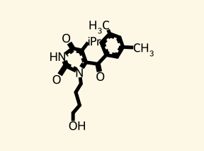 Cc1cc(C)cc(C(=O)c2c(C(C)C)c(=O)[nH]c(=O)n2CCCCO)c1